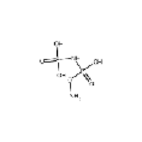 O=P(O)(O)NP(=O)(O)O[SiH3]